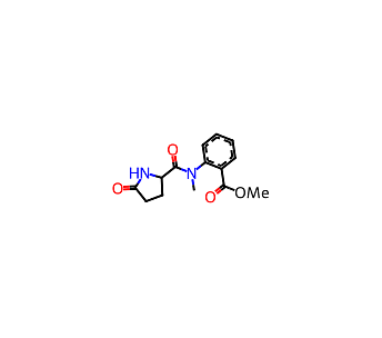 COC(=O)c1ccccc1N(C)C(=O)C1CCC(=O)N1